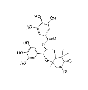 CC12C=C(C#N)C(=O)C(C)(C)C1CC(OC(=O)c1cc(O)c(O)c(O)c1)C(c1cc(O)c(O)c(O)c1)O2